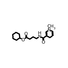 CN1C=CCC(C(=O)NCCCC(=O)OC2CCCCC2)=C1